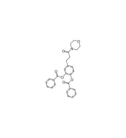 O=C(Oc1ccc(CCC(=O)N2CCOCC2)cc1OC(=O)c1ccccc1)c1ccccc1